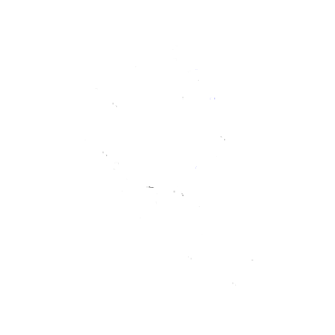 CC1=C\[C@@H](O)CC(=O)Cc2nc(co2)C(=O)N2CCC[C@@H]2C(=O)O[C@H]([C@@H](C)COC(=O)Nc2ccnc(Br)c2)[C@H](C)/C=C/C(=O)NC\C=C\1